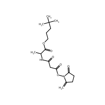 C=C1CCC(=O)N1OC(=O)CC(=O)NC(C)C(=O)OCCCC(C)(C)C